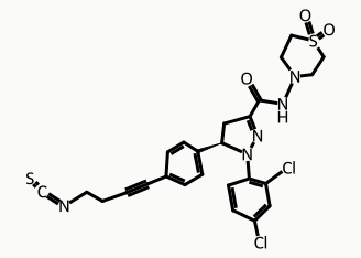 O=C(NN1CCS(=O)(=O)CC1)C1=NN(c2ccc(Cl)cc2Cl)[C@@H](c2ccc(C#CCCN=C=S)cc2)C1